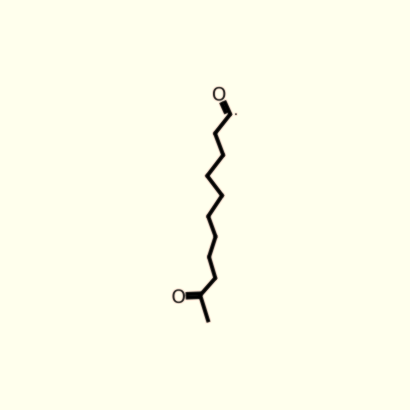 CC(=O)CCCCCCCC[C]=O